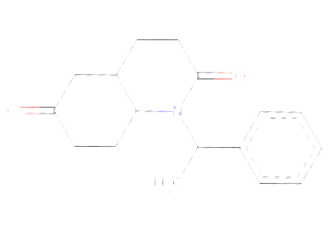 CC(c1ccccc1)N1C(=O)CCC2CC(=O)CCC21